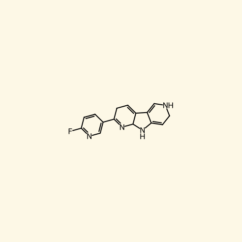 Fc1ccc(C2=NC3NC4=CCNC=C4C3=CC2)cn1